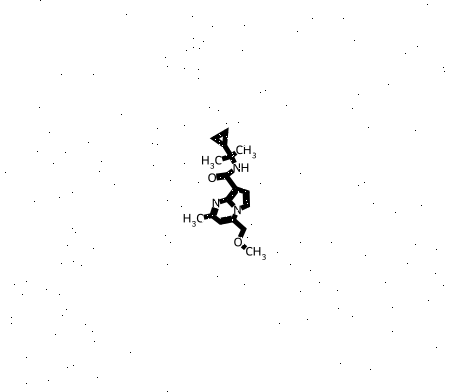 COCc1cc(C)nc2c(C(=O)NC(C)(C)C3CC3)ccn12